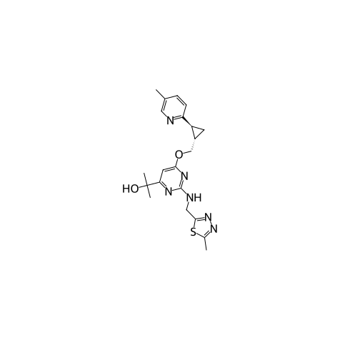 Cc1ccc([C@H]2C[C@@H]2COc2cc(C(C)(C)O)nc(NCc3nnc(C)s3)n2)nc1